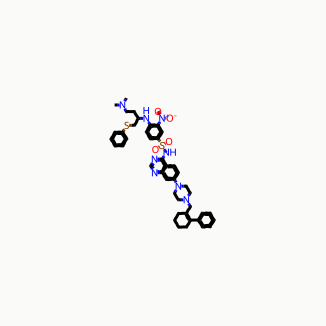 CN(C)CCC(CSc1ccccc1)Nc1ccc(S(=O)(=O)Nc2ncnc3cc(N4CCN(CC5=C(c6ccccc6)CCCC5)CC4)ccc23)cc1[N+](=O)[O-]